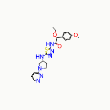 CCO[C@H](C(=O)Nc1nnc(N[C@@H]2CCN(c3cccnn3)C2)s1)c1ccc(OC)cc1